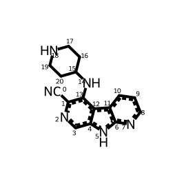 N#Cc1ncc2[nH]c3ncccc3c2c1NC1CCNCC1